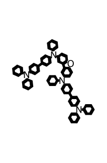 C1=CCC(N(C2=CCC(c3ccc(N(c4ccccc4)c4ccccc4)cc3)C=C2)c2ccc3oc4ccc(N(c5ccccc5)c5ccc(-c6ccc(N(c7ccccc7)c7ccccc7)cc6)cc5)cc4c3c2)C=C1